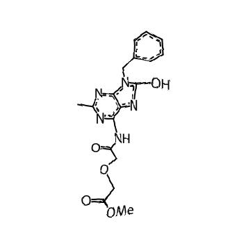 COC(=O)COCC(=O)Nc1nc(C)nc2c1nc(O)n2Cc1ccccc1